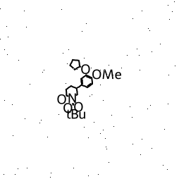 COc1ccc(C2CCC(=O)N(C(=O)OC(C)(C)C)C2)cc1OC1CCCC1